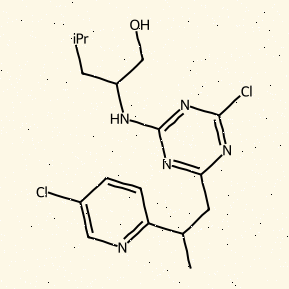 CC(C)CC(CO)Nc1nc(Cl)nc(CC(C)c2ccc(Cl)cn2)n1